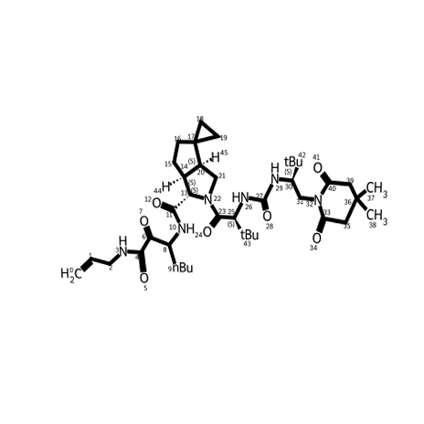 C=CCNC(=O)C(=O)C(CCCC)NC(=O)[C@@H]1[C@H]2CCC3(CC3)[C@H]2CN1C(=O)[C@@H](NC(=O)N[C@H](CN1C(=O)CC(C)(C)CC1=O)C(C)(C)C)C(C)(C)C